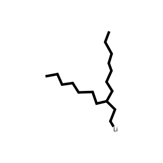 [Li][CH2]CC(CCCCCCC)CCCCCCC